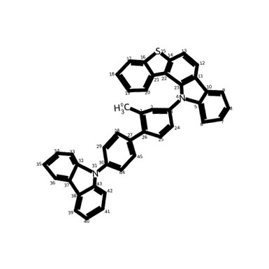 Cc1cc(-n2c3ccccc3c3ccc4sc5ccccc5c4c32)ccc1-c1ccc(-n2c3ccccc3c3ccccc32)cc1